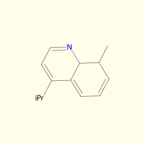 CC(C)C1=CC=NC2C1=CC=CC2C